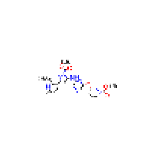 COc1nc(C)ccc1-c1cc(Nc2cncc(OC3CCCN(C(=O)OC(C)(C)C)C3)n2)n(C(=O)OC(C)(C)C)n1